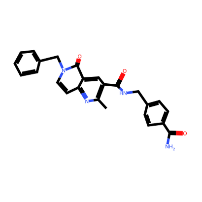 Cc1nc2ccn(Cc3ccccc3)c(=O)c2cc1C(=O)NCc1ccc(C(N)=O)cc1